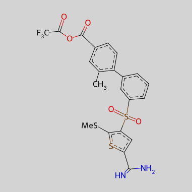 CSc1sc(C(=N)N)cc1S(=O)(=O)c1cccc(-c2ccc(C(=O)OC(=O)C(F)(F)F)cc2C)c1